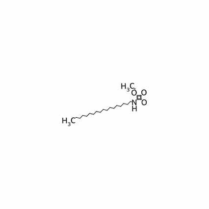 CCCCCCCCCCCCCCCCCCNc1c(OCC)c(=O)c1=O